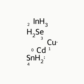 [Cd].[Cu].[InH3].[SeH2].[SnH2]